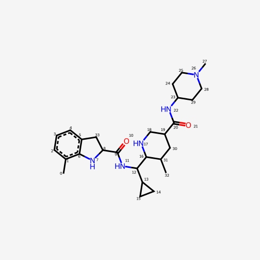 Cc1cccc2c1NC(C(=O)NC(C1CC1)C1NCC(C(=O)NC3CCN(C)CC3)CC1C)C2